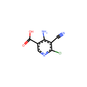 N#Cc1c(Cl)ncc(C(=O)O)c1N